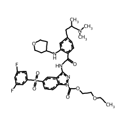 CCOCCOC(=O)n1nc(NC(=O)c2ccc(CC(C)N(C)C)cc2NC2CCOCC2)c2cc(S(=O)(=O)c3cc(F)cc(F)c3)ccc21